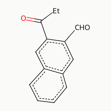 CCC(=O)c1cc2ccccc2cc1C=O